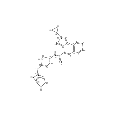 O=C(/C=C/c1cnccc1-c1cnn(C2CC2)c1)Nc1ccc(CN2CC3CC2CO3)cc1